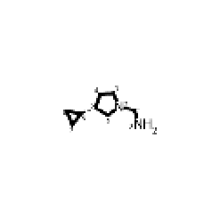 NCN1CC[C@@H](C2CC2)C1